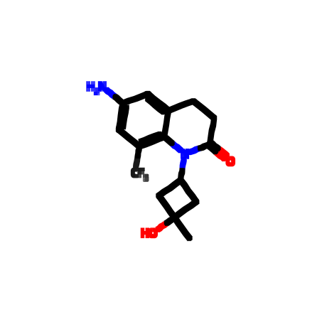 CC1(O)CC(N2C(=O)CCc3cc(N)cc(C(F)(F)F)c32)C1